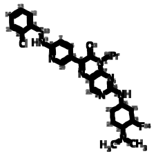 CC(C)n1c(=O)c(-c2ccc(NSc3ccccc3Cl)nc2)nc2cnc(NC3CCC(N(C)C)C(F)C3)nc21